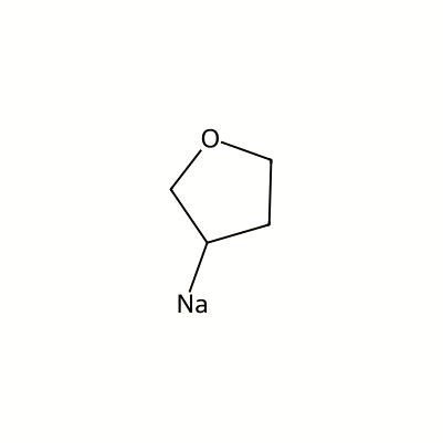 [Na][CH]1CCOC1